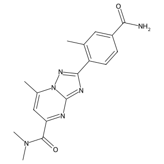 Cc1cc(C(N)=O)ccc1-c1nc2nc(C(=O)N(C)C)cc(C)n2n1